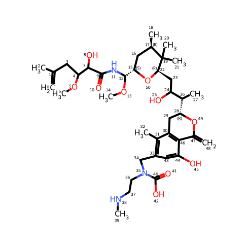 C=C(C)CC(OC)C(O)C(=O)NC(OC)[C@@H]1C[C@@H](C)C(C)(C)[C@@H](CC(O)C(C)[C@H]2Cc3c(C)c(CN(CCNC)C(=O)O)cc(O)c3C(=C)O2)O1